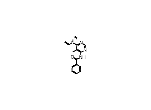 C=CN(c1ncnc(NC(=O)c2ccccc2)c1C)C(C)C